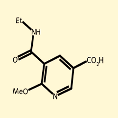 CCNC(=O)c1cc(C(=O)O)cnc1OC